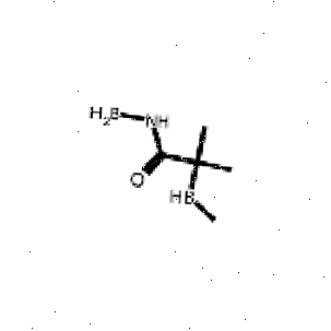 BNC(=O)C(C)(C)BC